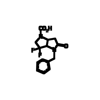 O=C(O)N1CC(F)(F)C2C1CC(=O)N2Cc1ccccc1